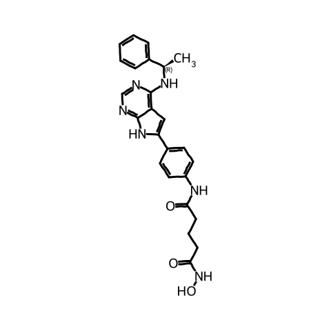 C[C@@H](Nc1ncnc2[nH]c(-c3ccc(NC(=O)CCCC(=O)NO)cc3)cc12)c1ccccc1